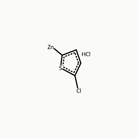 Cl.Clc1cc[c]([Zn])s1